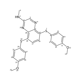 CNc1cnc2c(Sc3ccc(OC)cc3)ccc(Sc3ccc(OC)cc3)c2n1